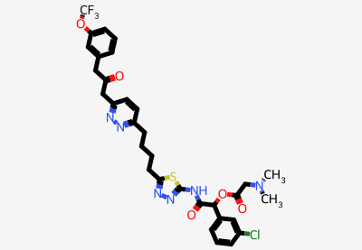 CN(C)CC(=O)OC(C(=O)Nc1nnc(CCCCc2ccc(CC(=O)Cc3cccc(OC(F)(F)F)c3)nn2)s1)c1cccc(Cl)c1